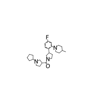 CC1CCN(c2cc(F)ccc2C2CCN(C(=O)C3CCN(C4CCCC4)C3)C2)CC1